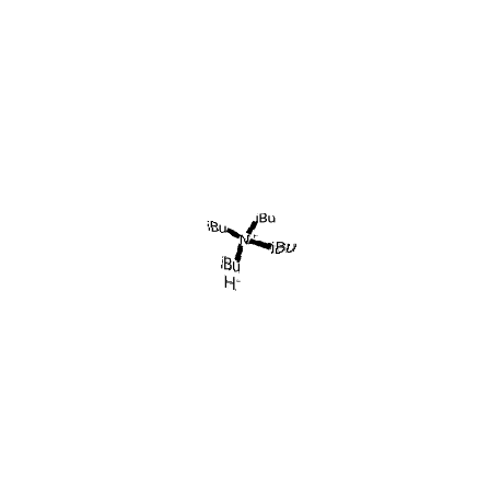 CCC(C)[N+](C(C)CC)(C(C)CC)C(C)CC.[H-]